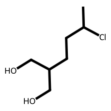 CC(Cl)CCC(CO)CO